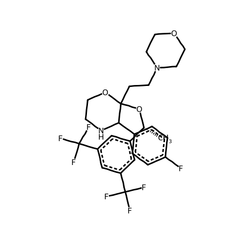 C[C@@H](OC1(CCN2CCOCC2)OCCNC1c1ccc(F)cc1)c1cc(C(F)(F)F)cc(C(F)(F)F)c1